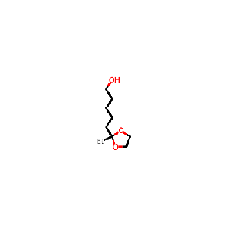 CCC1(CCCCCO)OCCO1